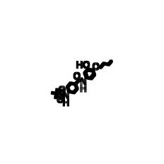 CCCCOc1ccc(NC(=O)C2CCC(NS(=O)(=O)C(C)(C)C)CC2)cc1O